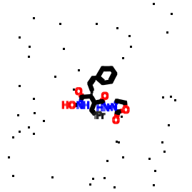 CC(C)CC(C(=O)NN1CCOC1=O)[C@@H](C/C=C\c1ccccc1)C(=O)NO